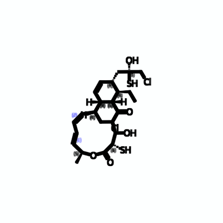 CC[C@H]1[C@@H]2C(=O)C3(Cl)C[C@H](/C=C\C=C\[C@H](C)OC(=O)[C@@H](S)C3O)[C@@H]2C=C[C@@H]1C[C@](O)(S)CCl